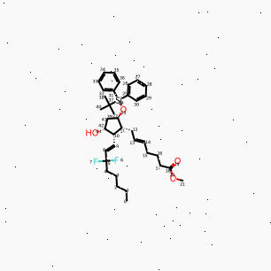 CCCCCC(F)(F)C=C[C@H]1[C@@H](CC=CCCCC(=O)OC)[C@H](O[Si](c2ccccc2)(c2ccccc2)C(C)(C)C)C[C@H]1O